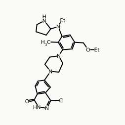 CCOCc1cc(N2CCN(c3ccc4c(=O)[nH]nc(Cl)c4c3)CC2)c(C)c(N(CC)C2CCCN2)c1